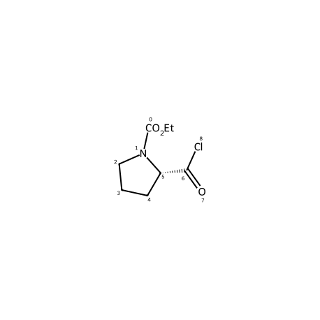 CCOC(=O)N1CCC[C@H]1C(=O)Cl